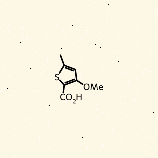 COc1cc(C)sc1C(=O)O